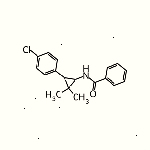 CC1(C)C(NC(=O)c2ccccc2)C1c1ccc(Cl)cc1